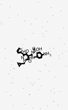 Nc1ccc2c(c1)P(=O)(O)N=C(c1c(O)c(-c3cccs3)nn(CC3CC3)c1=O)N2